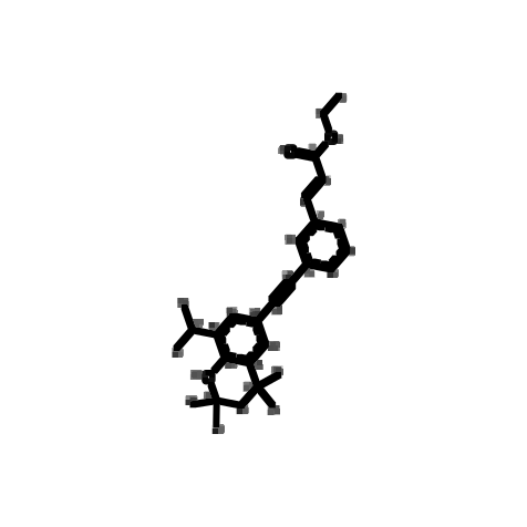 CCOC(=O)/C=C/c1cccc(C#Cc2cc(C(C)C)c3c(c2)C(C)(C)CC(C)(C)O3)c1